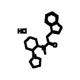 CN(C(=O)CC1=CCc2ccccc21)C1CCCCC1N1CCCC1.Cl